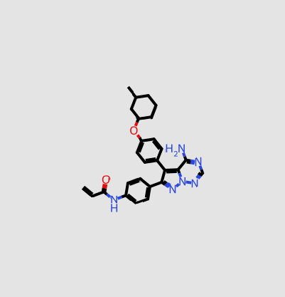 C=CC(=O)Nc1ccc(-c2nn3ncnc(N)c3c2-c2ccc(OC3CCCC(C)C3)cc2)cc1